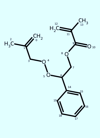 C=C(C)COOC(COC(=O)C(=C)C)c1ccccc1